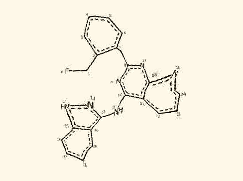 FCc1ccccc1-c1nc(Nc2n[nH]c3ccccc23)c2cccnc2n1